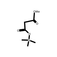 COC(=O)CC(=O)O[Si](C)(C)C